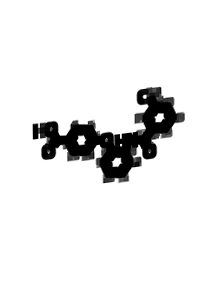 O=C(O)c1ccc(Oc2ccccc2NC(=O)c2cccc(Cl)c2)cc1